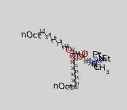 CCCCCCCC/C=C\CCCCCCCCOCC(COC(=O)CCCN(C)CCN(CC)CC)OCCCCCCCC/C=C\CCCCCCCC